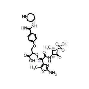 Cc1sc(N)nc1/C(=N/OC(COc1ccc(C(=N)N[C@H]2CCCNC2)cc1)C(=O)O)C(=O)N[C@@H]1C(=O)N(S(=O)(=O)O)[C@H]1C